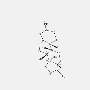 C[C@]12CCC(O)CC1CC[C@@H]1[C@H]2CC[C@]2(C)C(I)CC[C@@H]12